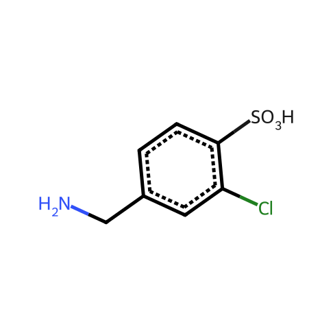 NCc1ccc(S(=O)(=O)O)c(Cl)c1